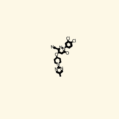 Cc1cnc(N2CCC(Oc3cc(=O)n(-c4ccc(Cl)c(Cl)c4)nc3C#N)CC2)nc1